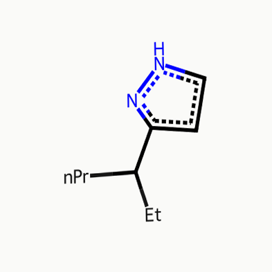 CCCC(CC)c1cc[nH]n1